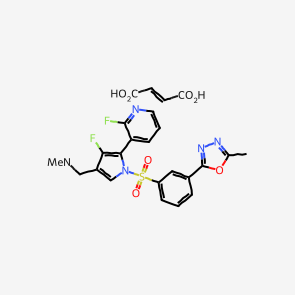 CNCc1cn(S(=O)(=O)c2cccc(-c3nnc(C)o3)c2)c(-c2cccnc2F)c1F.O=C(O)/C=C/C(=O)O